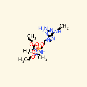 C=CCNc1nc(N)nc2c1ncn2CCOCP(=O)(N[C@@H](C)C(=O)OCCC)N[C@@H](C)C(=O)OCCC